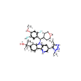 COc1cc(F)c(C(C2CCOCC2)n2c3cc(C(C)(C)O)ccc3c3ncc(-c4c(C)nnn4C)cc32)cc1F